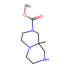 CC(C)(C)OC(=O)N1CCN2CCNCC2(C)C1